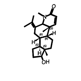 CC(C)=C1C[C@@H]2[C@@H](CC[C@]3(C)C(O)CC[C@@H]23)[C@@]2(C)C=CC(=O)N(C)C12